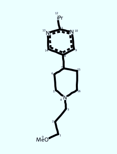 COCCCN1CCC(c2cnc(C(C)C)nc2)CC1